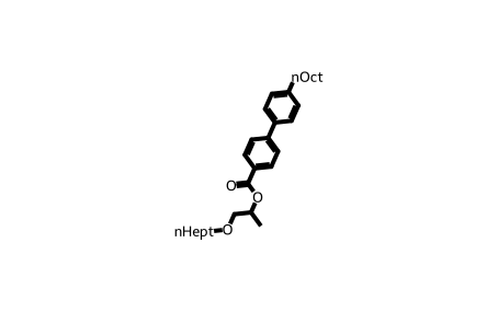 CCCCCCCCc1ccc(-c2ccc(C(=O)OC(C)COCCCCCCC)cc2)cc1